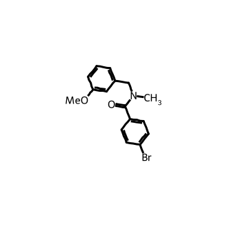 COc1cccc(CN(C)C(=O)c2ccc(Br)cc2)c1